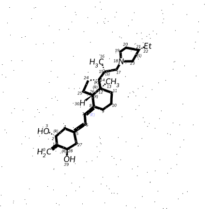 C=C1[C@H](O)CC(=C/C=C2\CCC[C@]3(C)[C@@H]([C@H](C)CN4CC[C@H](CC)C4)CC[C@@H]23)C[C@H]1O